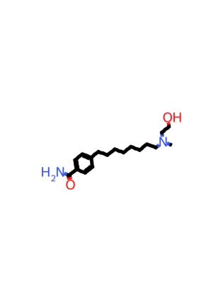 CN(CCO)CCCCCCCCc1ccc(C(N)=O)cc1